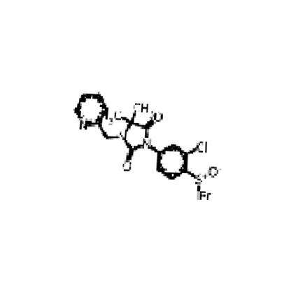 CC(C)[S+]([O-])c1ccc(N2C(=O)N(Cc3ccccn3)C(C)(C)C2=O)cc1Cl